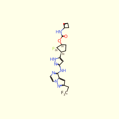 O=C(NC12CC(C1)C2)O[C@H]1CC[C@@H](c2cc(Nc3nccn4nc(CC(F)(F)F)cc34)n[nH]2)[C@@H]1F